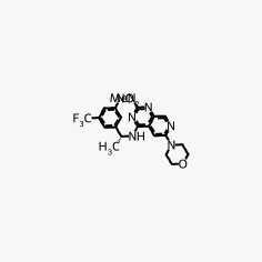 CNc1nc(N[C@H](C)c2cc([N+](=O)[O-])cc(C(F)(F)F)c2)c2cc(N3CCOCC3)ncc2n1